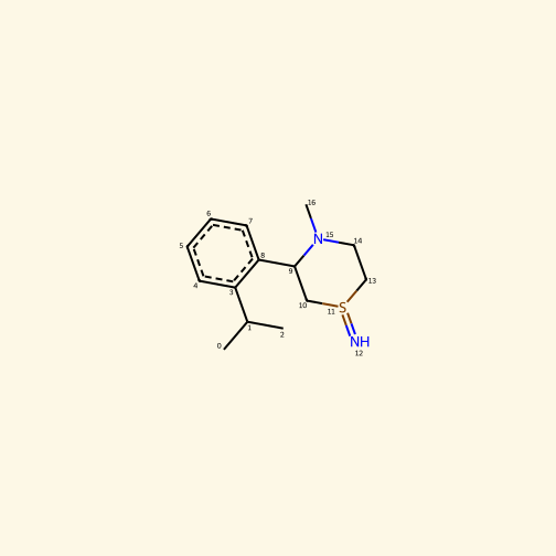 CC(C)c1ccccc1C1CS(=N)CCN1C